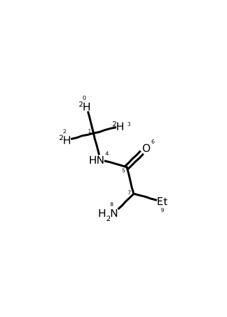 [2H]C([2H])([2H])NC(=O)C(N)CC